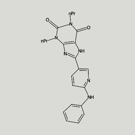 CCCn1c(=O)c2[nH]c(-c3ccc(Nc4ccccc4)nc3)nc2n(CCC)c1=O